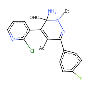 CCN1N=C(c2ccc(F)cc2)C(C(C)=O)=C(c2cccnc2Cl)C1(N)C=O